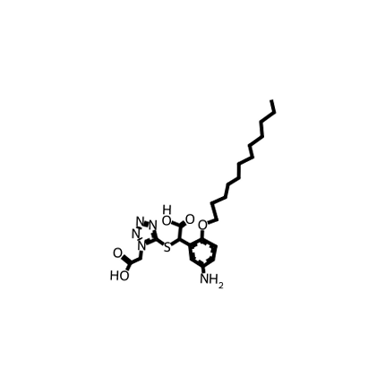 CCCCCCCCCCCCOc1ccc(N)cc1C(Sc1nnnn1CC(=O)O)C(=O)O